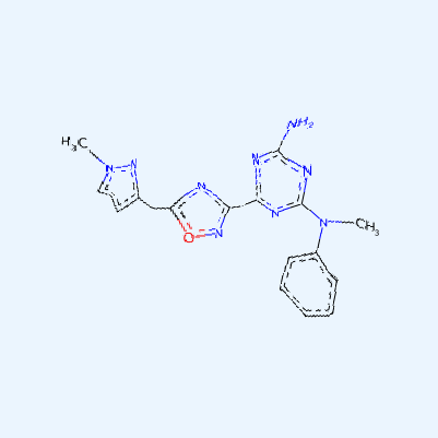 CN(c1ccccc1)c1nc(N)nc(-c2noc(-c3ccn(C)n3)n2)n1